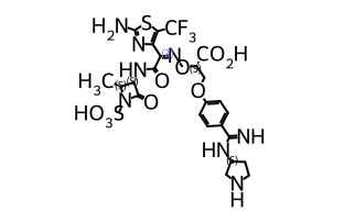 C[C@H]1[C@H](NC(=O)/C(=N\O[C@@H](COc2ccc(C(=N)N[C@H]3CCNC3)cc2)C(=O)O)c2nc(N)sc2C(F)(F)F)C(=O)N1S(=O)(=O)O